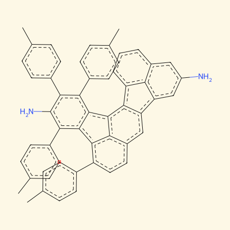 Cc1ccc(-c2c(N)c(-c3ccc(C)cc3)c3c4c(-c5ccc(C)cc5)ccc5cc6c7cc(N)cc8cccc(c87)c6c(c3c2-c2ccc(C)cc2)c54)cc1